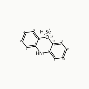 [SeH2].c1ccc2c(c1)Nc1ccccc1O2